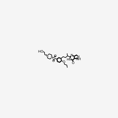 CCCOc1ccc(S(=O)(=O)N2CCN(CCO)CC2)cc1CCC(C)c1nc2cn[nH]c2c(=O)[nH]1